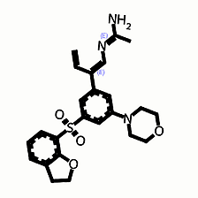 C=C/C(=C\N=C(/C)N)c1cc(N2CCOCC2)cc(S(=O)(=O)c2cccc3c2OCC3)c1